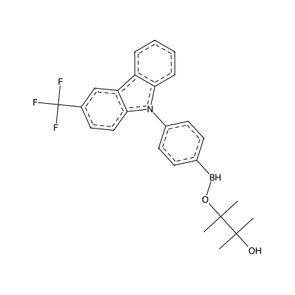 CC(C)(O)C(C)(C)OBc1ccc(-n2c3ccccc3c3cc(C(F)(F)F)ccc32)cc1